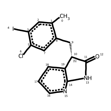 Cc1cc(I)c(Cl)cc1C[C@@H]1C(=O)Nc2ncccc21